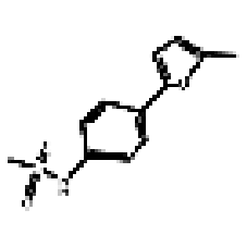 Cc1ccc(-c2ccc(NS(C)(=O)=O)cc2)o1